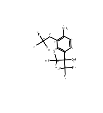 Nc1ccc(C(O)(C(F)(F)F)C(F)(F)F)cc1SC(F)(F)F